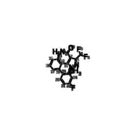 Cn1nc(C(F)F)c(C(N)=O)c1-c1c(F)cccc1-c1ccc(F)cc1Cl